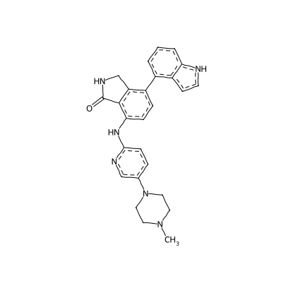 CN1CCN(c2ccc(Nc3ccc(-c4cccc5[nH]ccc45)c4c3C(=O)NC4)nc2)CC1